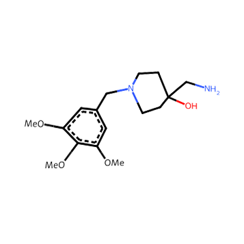 COc1cc(CN2CCC(O)(CN)CC2)cc(OC)c1OC